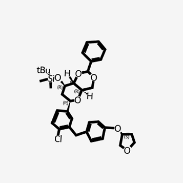 CC(C)(C)[Si](C)(C)O[C@@H]1C[C@H](c2ccc(Cl)c(Cc3ccc(O[C@H]4CCOC4)cc3)c2)O[C@@H]2COC(c3ccccc3)O[C@H]21